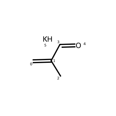 C=C(C)C=O.[KH]